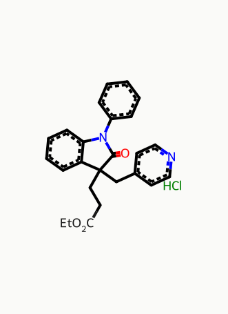 CCOC(=O)CCC1(Cc2ccncc2)C(=O)N(c2ccccc2)c2ccccc21.Cl